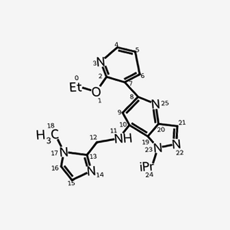 CCOc1ncccc1-c1cc(NCc2nccn2C)c2c(cnn2C(C)C)n1